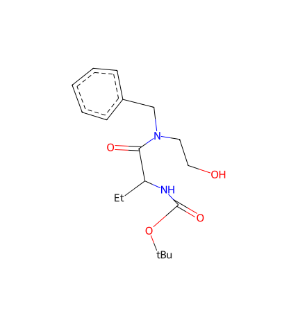 CCC(NC(=O)OC(C)(C)C)C(=O)N(CCO)Cc1ccccc1